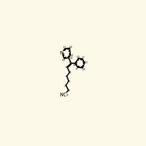 N#CCCCCC/C=C(\c1ccccc1)c1cccnc1